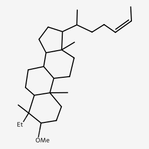 C/C=C\CCC(C)C1CCC2C3CCC4C(C)(CC)C(OC)CCC4(C)C3CCC12C